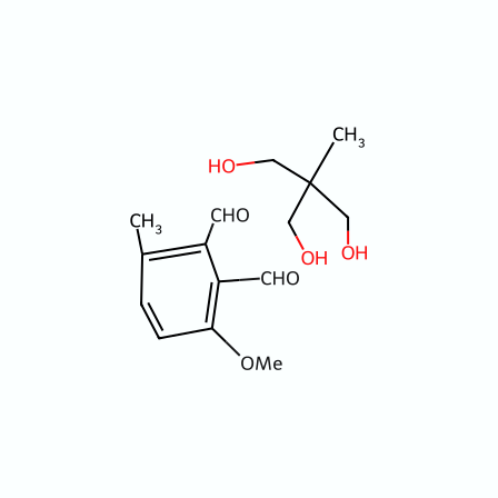 CC(CO)(CO)CO.COc1ccc(C)c(C=O)c1C=O